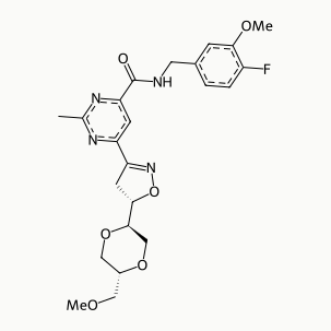 COC[C@@H]1CO[C@@H]([C@@H]2CC(c3cc(C(=O)NCc4ccc(F)c(OC)c4)nc(C)n3)=NO2)CO1